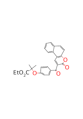 CCOC(=O)C(C)(C)Oc1ccc(C(=O)c2cc3c(ccc4ccccc43)oc2=O)cc1